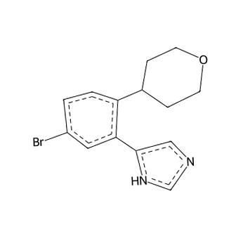 Brc1ccc(C2CCOCC2)c(-c2cnc[nH]2)c1